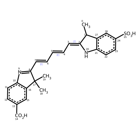 CC1/C(=C/C=C/C=C/C2=Nc3ccc(C(=O)O)cc3C2(C)C)Nc2ccc(S(=O)(=O)O)cc21